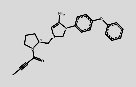 CC#CC(=O)N1CCC[C@H]1CN1C=C(N)N(c2ccc(Oc3ccccc3)cc2)C1